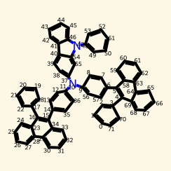 c1ccc(-c2c(-c3ccc(N(c4ccc(-c5c(-c6ccccc6)c6ccccc6c6ccccc56)cc4)c4ccc5c6ccccc6n(-c6ccccc6)c5c4)cc3)c3ccccc3c3ccccc23)cc1